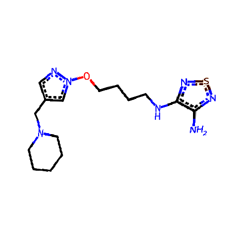 Nc1nsnc1NCCCCOn1cc(CN2CCCCC2)cn1